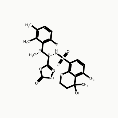 Cc1ccc(F)c([C@@H](C)[C@H](NS(=O)(=O)c2ccc(C(F)(F)F)c3c2OCCC3(C)O)c2n[nH]c(=O)o2)c1C